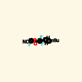 CCCC[C@H]1CC[C@@H]2CC(c3c(F)cc(C(=O)Oc4ccc(C#N)c(F)c4)cc3F)CC[C@H]2C1